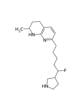 CC1CCc2ccc(CCCCC(F)C3CCNC3)nc2N1